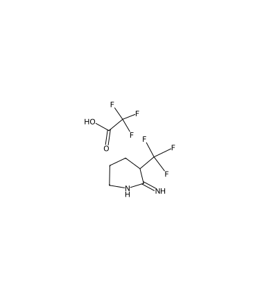 N=C1NCCCC1C(F)(F)F.O=C(O)C(F)(F)F